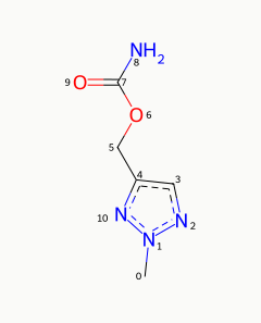 Cn1ncc(COC(N)=O)n1